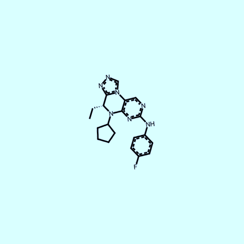 CC[C@@H]1c2nncn2-c2cnc(Nc3ccc(F)cc3)nc2N1C1CCCC1